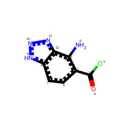 Nc1c(C(=O)Cl)ccc2[nH]nnc12